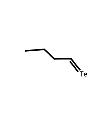 CCCC=[Te]